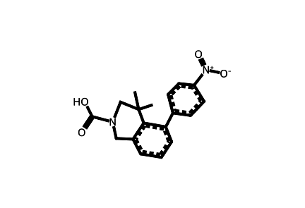 CC1(C)CN(C(=O)O)Cc2cccc(-c3ccc([N+](=O)[O-])cc3)c21